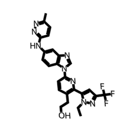 CCn1nc(C(F)(F)F)cc1-c1nc(-n2cnc3cc(Nc4ccc(C)nn4)ccc32)ccc1CCO